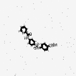 COc1ccc(NS(=O)(=O)c2ccc(NC(=O)c3ccccn3)cc2)cc1